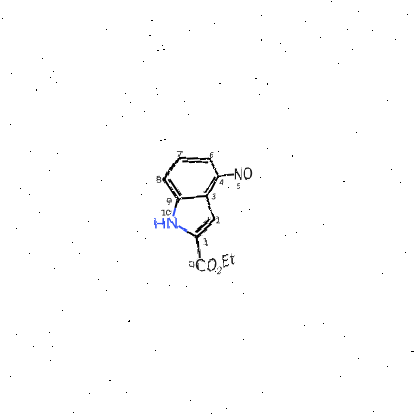 CCOC(=O)c1cc2c(N=O)cccc2[nH]1